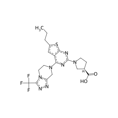 CCCc1cc2c(N3CCn4c(nnc4C(F)(F)F)C3)nc(N3CC[C@@H](C(=O)O)C3)nc2s1